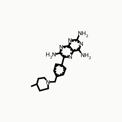 CC1CCN(Cc2ccc(-c3nc4c(N)nc(N)nc4nc3N)cc2)CC1